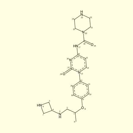 CC(CNC1CNC1)Oc1ccc(-n2ccc(NC(=O)N3CCNCC3)nc2=O)cc1